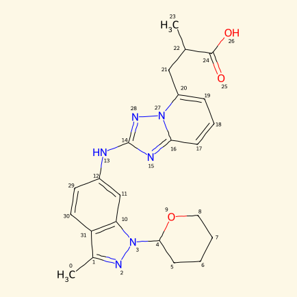 Cc1nn(C2CCCCO2)c2cc(Nc3nc4cccc(CC(C)C(=O)O)n4n3)ccc12